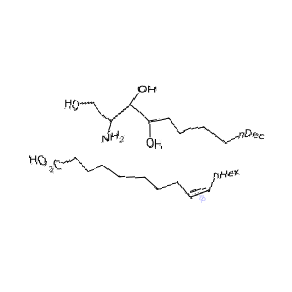 CCCCCC/C=C\CCCCCCCC(=O)O.CCCCCCCCCCCCCCC(O)C(O)C(N)CO